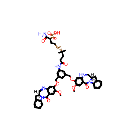 COc1cc2c(cc1OCc1cc(COc3cc4c(cc3OC)C(=O)N3c5ccccc5C[C@H]3CN4)cc(NC(=O)CCC(C)(C)SSCCC(C(N)=O)S(=O)(=O)O)c1)N=C[C@@H]1Cc3ccccc3N1C2=O